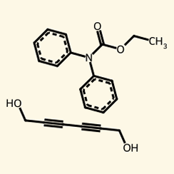 CCOC(=O)N(c1ccccc1)c1ccccc1.OCC#CC#CCO